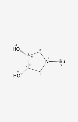 CCC(C)N1C[C@@H](O)[C@@H](O)C1